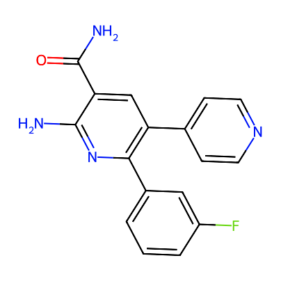 NC(=O)c1cc(-c2ccncc2)c(-c2cccc(F)c2)nc1N